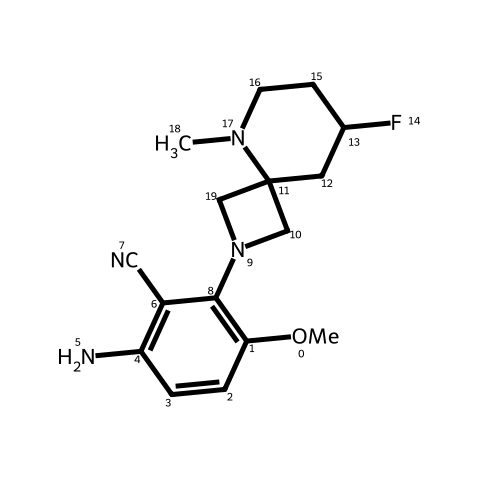 COc1ccc(N)c(C#N)c1N1CC2(CC(F)CCN2C)C1